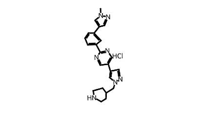 Cl.Cn1cc(-c2cccc(-c3ncc(-c4cnn(CC5CCNCC5)c4)cn3)c2)cn1